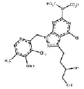 COc1c(C)cnc(Cn2nc(CCC(O)CO)c3c(Cl)nc(N(C(=O)O)C(=O)O)nc32)c1C